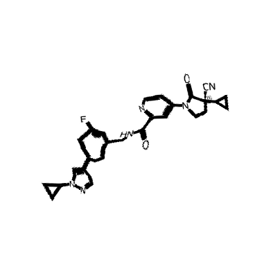 N#C[C@@]1(C2CC2)CCN(c2ccnc(C(=O)NCc3cc(F)cc(-c4cnn(C5CC5)c4)c3)c2)C1=O